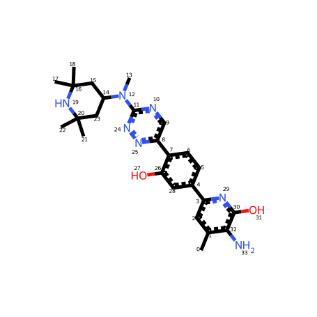 Cc1cc(-c2ccc(-c3cnc(N(C)C4CC(C)(C)NC(C)(C)C4)nn3)c(O)c2)nc(O)c1N